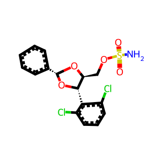 NS(=O)(=O)OC[C@@H]1O[C@@H](c2ccccc2)O[C@H]1c1c(Cl)cccc1Cl